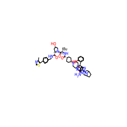 Cc1ncsc1-c1ccc(CNC(=O)[C@@H]2C[C@H](O)CN2C(=O)[C@@H](NC(=O)[C@H]2CC[C@@H](N3CCC(c4cnc(N5C6CCC5CN(c5cc(-c7ccccc7O)nnc5N)C6)nc4)CC3)CC2)C(C)(C)C)cc1